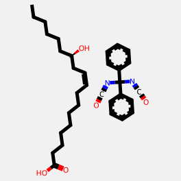 CCCCCC[C@@H](O)C/C=C\CCCCCCCC(=O)O.O=C=NC(N=C=O)(c1ccccc1)c1ccccc1